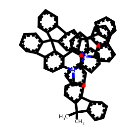 CC1(C)c2ccccc2-c2cc(N(c3ccccc3)c3ccc4c(c3-c3ccc(-c5ccccc5)cc3)C3(c5ccccc5-c5cc(-c6ccccc6)c(N(c6ccccc6)c6ccccc6)cc53)c3ccccc3-4)ccc21